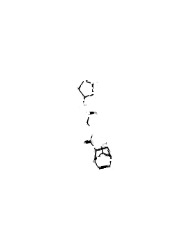 O=C(COC(=O)C1CC2C=CC1C2O)OC1CCCC1